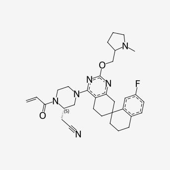 C=CC(=O)N1CCN(c2nc(OCC3CCCN3C)nc3c2CCC2(CCCc4ccc(F)cc42)C3)C[C@@H]1CC#N